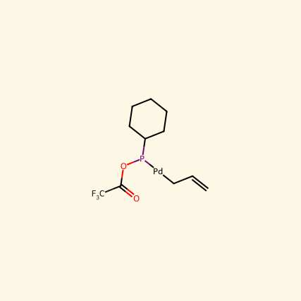 C=C[CH2][Pd][P](OC(=O)C(F)(F)F)C1CCCCC1